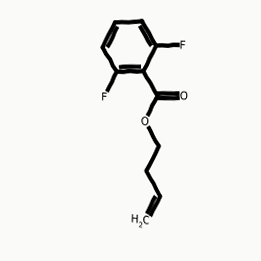 C=CCCOC(=O)c1c(F)cccc1F